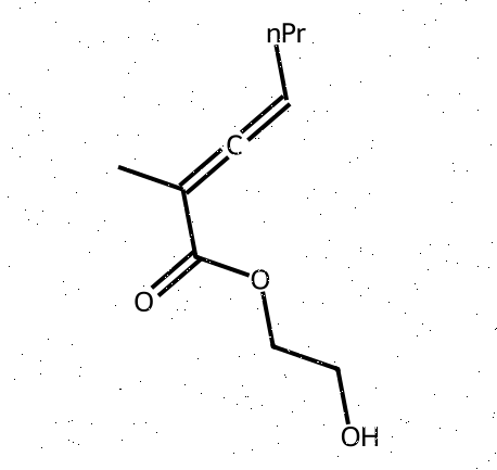 CCCC=C=C(C)C(=O)OCCO